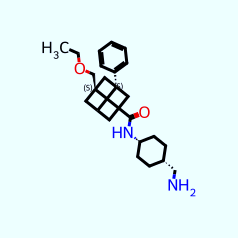 CCOC[C@@]12CC3CC4(C(=O)N[C@H]5CC[C@@H](CN)CC5)C[C@](c5ccccc5)(C1)C342